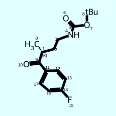 C[C@H](CCNC(=O)OC(C)(C)C)C(=O)c1ccc(F)cc1